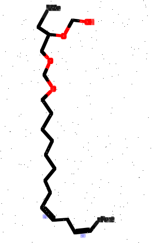 CCCCC/C=C\C/C=C\CCCCCCCCOCOCC(CNC)OCO